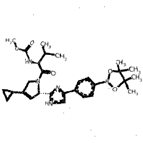 COC(=O)N[C@H](C(=O)N1CC(C2CC2)=C[C@H]1c1nc(-c2ccc(B3OC(C)(C)C(C)(C)O3)cc2)c[nH]1)C(C)C